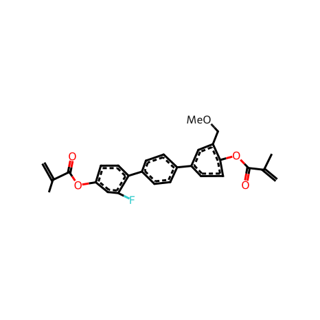 C=C(C)C(=O)Oc1ccc(-c2ccc(-c3ccc(OC(=O)C(=C)C)c(COC)c3)cc2)c(F)c1